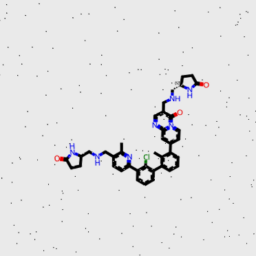 Cc1nc(-c2cccc(-c3cccc(-c4ccn5c(=O)c(CNC[C@@H]6CCC(=O)N6)cnc5c4)c3C)c2Cl)ccc1CNCC1CCC(=O)N1